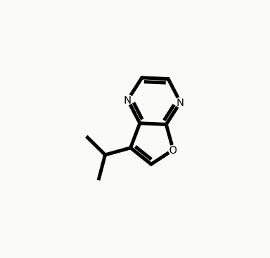 CC(C)c1coc2nccnc12